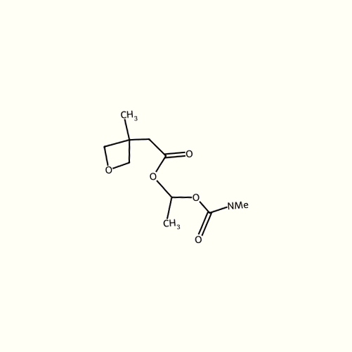 CNC(=O)OC(C)OC(=O)CC1(C)COC1